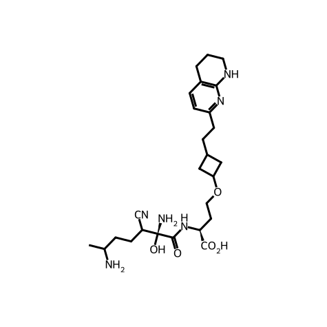 CC(N)CCC(C#N)[C@@](N)(O)C(=O)N[C@@H](CCOC1CC(CCc2ccc3c(n2)NCCC3)C1)C(=O)O